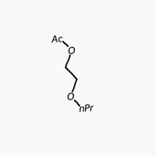 CCCOCCOC(C)=O